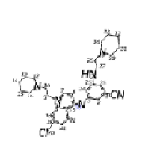 N#Cc1cc(/N=c2\ccn(CCN3CCCCC3)c3cc(Cl)ccc23)cc(NCCN2CCCCC2)c1